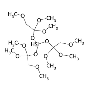 COCC(OC)(OC)O[SiH](OC(COC)(OC)OC)OC(COC)(OC)OC